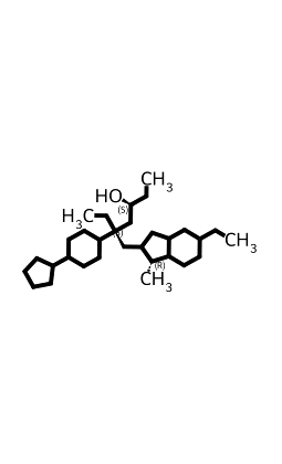 CCC1CCC2C(C1)CC(C[C@@](CC)(C[C@@H](O)CC)C1CCC(C3CCCC3)CC1)[C@H]2C